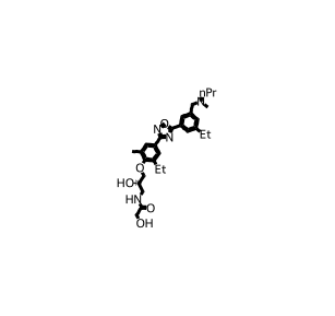 CCCN(C)Cc1cc(CC)cc(-c2nc(-c3cc(C)c(OC[C@@H](O)CNC(=O)CO)c(CC)c3)no2)c1